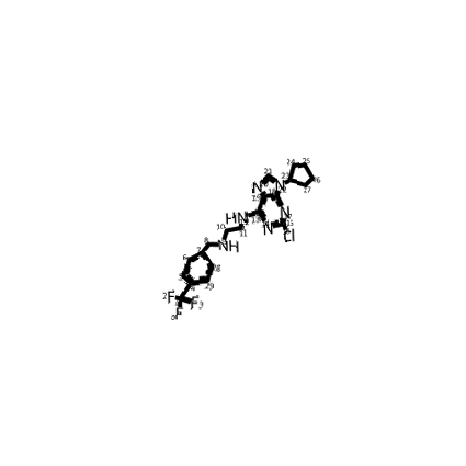 FC(F)(F)c1ccc(CNCCNc2nc(Cl)nc3c2ncn3C2CCCC2)cc1